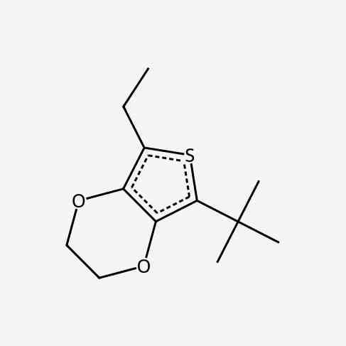 CCc1sc(C(C)(C)C)c2c1OCCO2